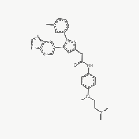 Cc1cccc(-n2nc(CC(=O)Nc3ccc(N(C)CCN(C)C)cc3)cc2-c2ccc3ncsc3c2)n1